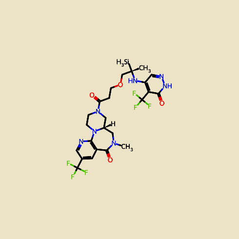 CN1C[C@H]2CN(C(=O)CCOC[C@](C)([SiH3])Nc3cn[nH]c(=O)c3C(F)(F)F)CCN2c2ncc(C(F)(F)F)cc2C1=O